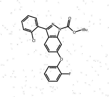 CC(C)(C)OC(=O)n1nc(-c2ccccc2Cl)c2ccc(Oc3ccccc3F)cc21